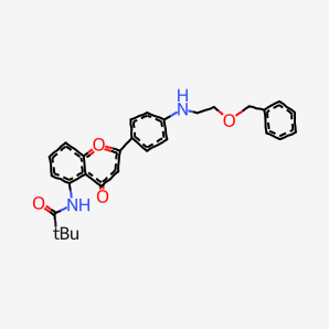 CC(C)(C)C(=O)Nc1cccc2oc(-c3ccc(NCCOCc4ccccc4)cc3)cc(=O)c12